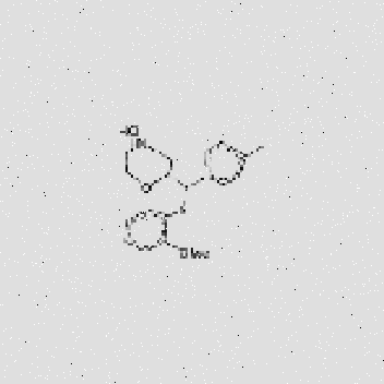 COc1ccccc1SC(c1ccc(C)cc1)[C@H]1CNCCO1.Cl